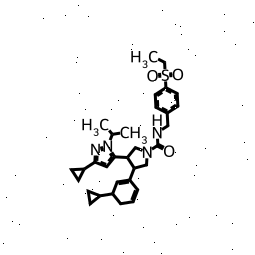 CCS(=O)(=O)c1ccc(CNC(=O)N2CC(C3=CC(C4CC4)CC=C3)C(c3cc(C4CC4)nn3C(C)C)C2)cc1